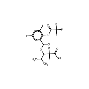 CC(C)C(OC(=O)c1cc(I)cc(I)c1OC(=O)C(F)(F)F)C(F)(F)C(=O)O